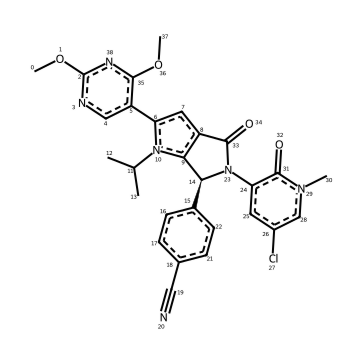 COc1ncc(-c2cc3c(n2C(C)C)[C@H](c2ccc(C#N)cc2)N(c2cc(Cl)cn(C)c2=O)C3=O)c(OC)n1